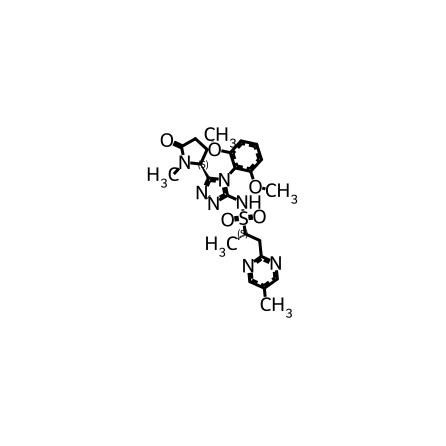 COc1cccc(OC)c1-n1c(NS(=O)(=O)[C@@H](C)Cc2ncc(C)cn2)nnc1[C@@H]1CCC(=O)N1C